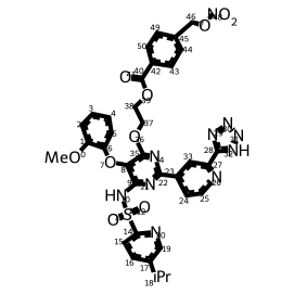 COc1ccccc1Oc1c(NS(=O)(=O)c2ccc(C(C)C)cn2)nc(-c2ccnc(-c3nnn[nH]3)c2)nc1OCCOC(=O)c1ccc(CO[N+](=O)[O-])cc1